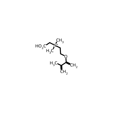 C=C(C)C(=C)OCC[N+](C)(C)CC(=O)O